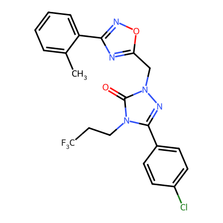 Cc1ccccc1-c1noc(Cn2nc(-c3ccc(Cl)cc3)n(CCC(F)(F)F)c2=O)n1